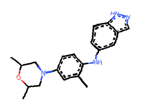 Cc1cc(N2CC(C)OC(C)C2)ccc1Nc1ccc2[nH]ncc2c1